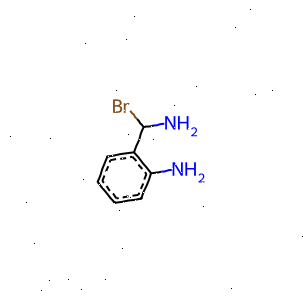 Nc1ccccc1C(N)Br